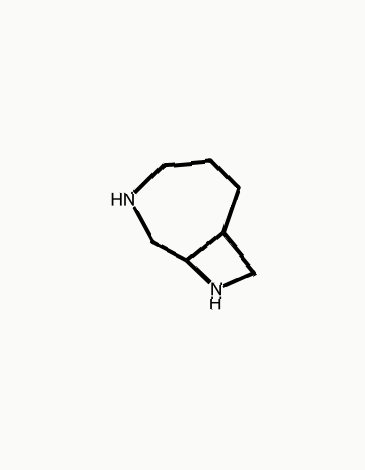 C1CNCC2NCC2C1